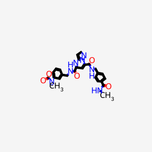 CNC(=O)c1ccc(CNC(=O)c2cc(C(=O)NCc3ccc4oc(=O)n(C)c4c3)nc3ccnn23)cc1